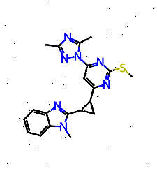 CSc1nc(C2CC2c2nc3ccccc3n2C)cc(-n2nc(C)nc2C)n1